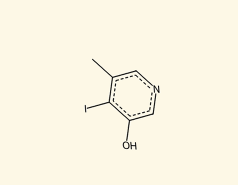 Cc1cncc(O)c1I